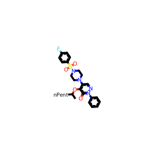 CCCCCC(C)Oc1c(N2CCN(S(=O)(=O)c3ccc(F)cc3)CC2)cnn(-c2ccccc2)c1=O